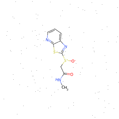 CNC(=O)C[S+]([O-])c1nc2cccnc2s1